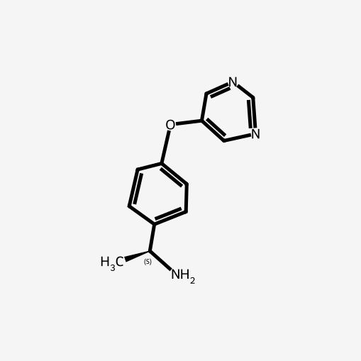 C[C@H](N)c1ccc(Oc2cncnc2)cc1